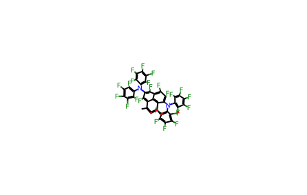 C=C(C)c1c(F)c(N(c2c(F)c(F)c(F)c(F)c2F)c2c(F)c(F)c(F)c(F)c2F)c(F)c2c(F)c(F)c(N(c3c(F)c(F)c(F)c(F)c3F)c3c(F)c(F)c(F)c(F)c3F)c(C(=C)C)c12